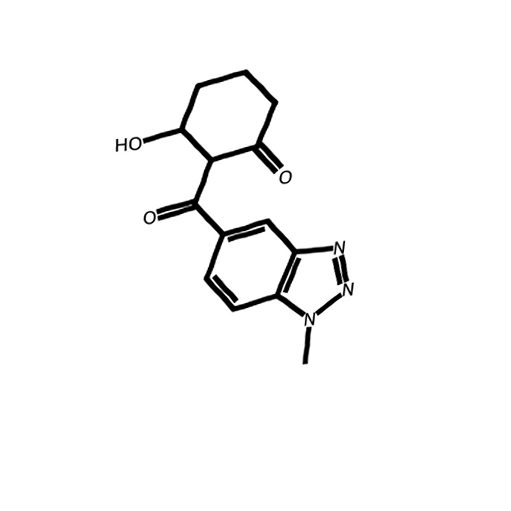 Cn1nnc2cc(C(=O)C3C(=O)CCCC3O)ccc21